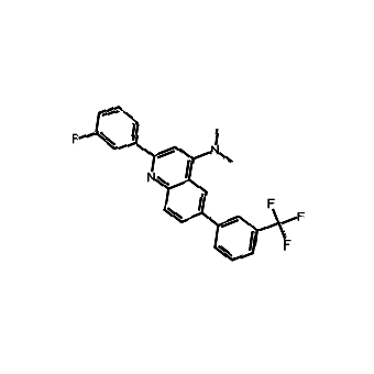 CN(C)c1cc(-c2cccc(F)c2)nc2ccc(-c3cccc(C(F)(F)F)c3)cc12